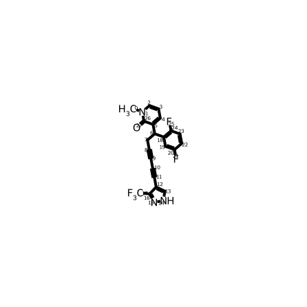 Cn1cccc(C(CC#CC#Cc2c[nH]nc2C(F)(F)F)c2cc(F)ccc2F)c1=O